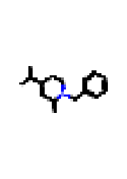 CC(C)C1CCN(Cc2ccccc2)C(C)C1